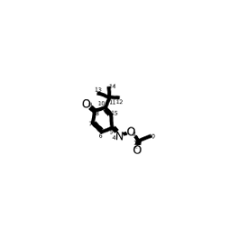 CC(=O)O/N=C1/C=CC(=O)C(C(C)(C)C)=C1